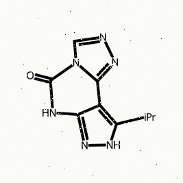 CC(C)c1[nH]nc2[nH]c(=O)n3cnnc3c12